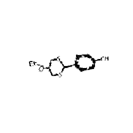 CCOC1CSC(c2ccc(C#N)cc2)SC1